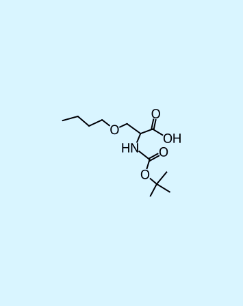 CCCCOCC(NC(=O)OC(C)(C)C)C(=O)O